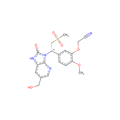 COc1ccc([C@@H](CS(C)(=O)=O)n2c(=O)[nH]c3cc(CO)cnc32)cc1OCC#N